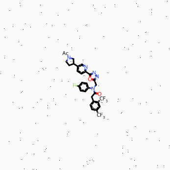 CC(=O)N1CCC(c2ccc(-c3nnc(CN(C(=O)Cc4ccc(C(F)(F)F)cc4C(F)(F)F)c4ccc(F)cc4)o3)nc2)C1